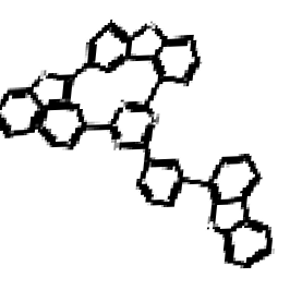 c1ccc(-c2nc(-c3cccc(-c4cccc5c4oc4ccccc45)c3)nc(-c3cccc4sc5ccc(-c6nc7ccccc7s6)cc5c34)n2)cc1